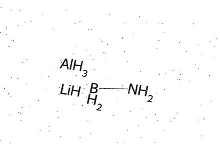 BN.[AlH3].[LiH]